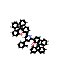 Cc1ccccc1-c1cc(-c2cccc3c2Oc2ccccc2C3(c2ccccc2)c2ccccc2)nc(-c2cccc3c2Oc2ccccc2C3(c2ccccc2)c2ccccc2)c1